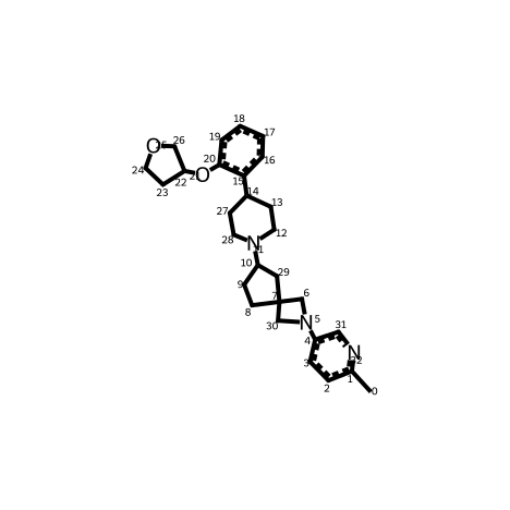 Cc1ccc(N2CC3(CCC(N4CCC(c5ccccc5OC5CCOC5)CC4)C3)C2)cn1